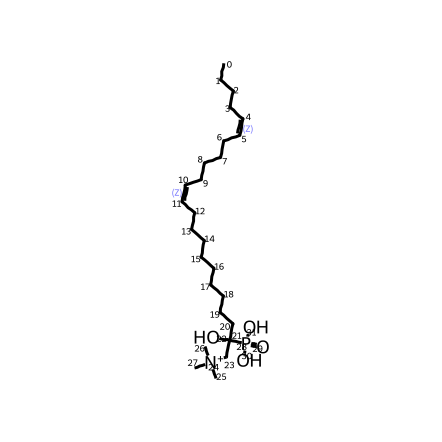 CCCC/C=C\CCCC/C=C\CCCCCCCCCC(O)(C[N+](C)(C)C)P(=O)(O)O